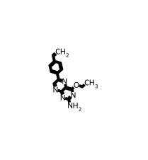 C=Cc1ccc(-c2cnc3nc(N)nc(OCC)c3n2)cc1